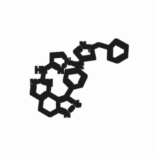 CCn1ccc(Nc2ncc3c(n2)-c2c(nn(C)c2-c2ccc(-c4cnn(Cc5ccccc5)c4)cc2)CC3)n1